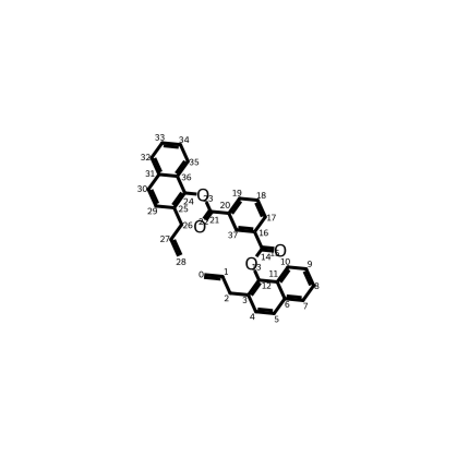 C=CCc1ccc2ccccc2c1OC(=O)c1cccc(C(=O)Oc2c(CC=C)ccc3ccccc23)c1